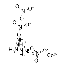 N.N.N.N.N.O=[N+]([O-])[O-].O=[N+]([O-])[O-].O=[N+]([O-])[O-].[Co+3]